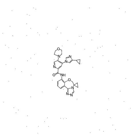 O=C(Nc1cccc2c1OCC1(CC1)n1cnnc1-2)c1cc(-n2cnc(C3CC3)c2)c(N2CCOCC2)cn1